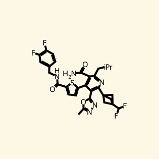 Cc1nnc(-c2c(C34CC(C(F)F)(C3)C4)nc(CC(C)C)c(C(N)=O)c2-c2ccc(C(=O)NCc3ccc(F)c(F)c3)s2)o1